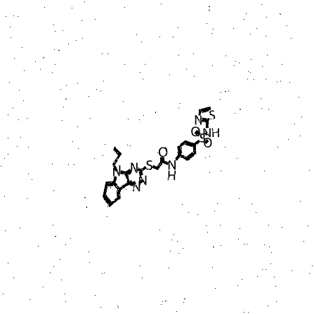 C=CCn1c2ccccc2c2nnc(SCC(=O)Nc3ccc(S(=O)(=O)Nc4nccs4)cc3)nc21